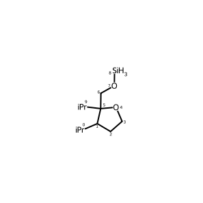 CC(C)C1CCOC1(CO[SiH3])C(C)C